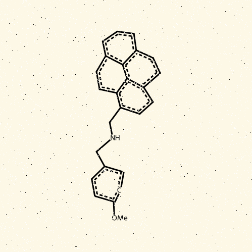 COc1ccc(CNCc2ccc3ccc4cccc5ccc2c3c45)cc1